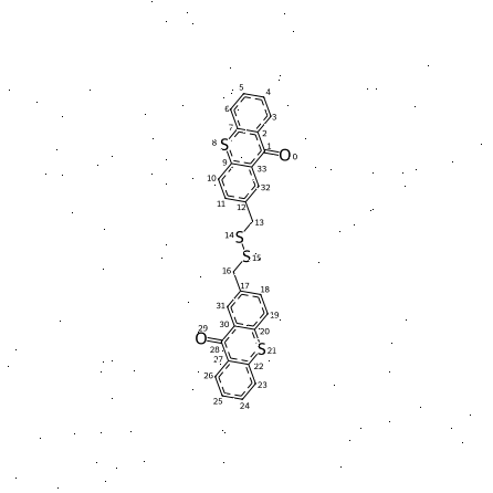 O=c1c2ccccc2sc2ccc(CSSCc3ccc4sc5ccccc5c(=O)c4c3)cc12